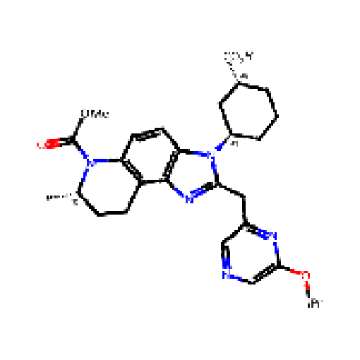 COC(=O)N1c2ccc3c(nc(Cc4cncc(OC(C)C)n4)n3[C@@H]3CCC[C@@H](C(=O)O)C3)c2CC[C@@H]1C